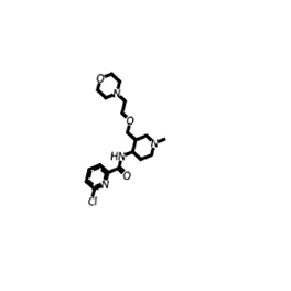 CN1CCC(NC(=O)c2cccc(Cl)n2)C(COCCN2CCOCC2)C1